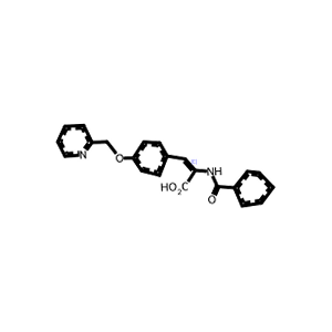 O=C(O)/C(=C\c1ccc(OCc2ccccn2)cc1)NC(=O)c1ccccc1